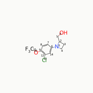 OCC1CCN1c1ccc(OC(F)(F)F)c(Cl)c1